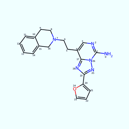 Nc1ncc(CCN2CCc3ccccc3C2)c2nc(-c3ccco3)nn12